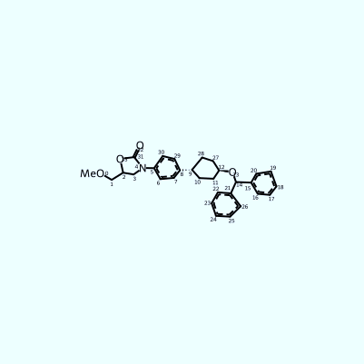 COCC1CN(c2ccc([C@H]3CC[C@H](OC(c4ccccc4)c4ccccc4)CC3)cc2)C(=O)O1